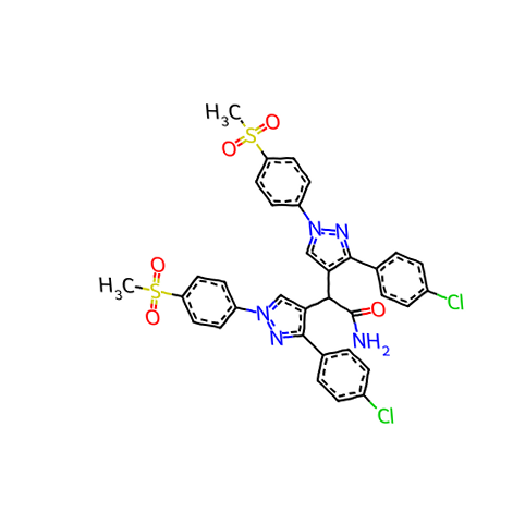 CS(=O)(=O)c1ccc(-n2cc(C(C(N)=O)c3cn(-c4ccc(S(C)(=O)=O)cc4)nc3-c3ccc(Cl)cc3)c(-c3ccc(Cl)cc3)n2)cc1